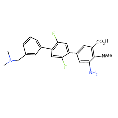 CNc1c(N)cc(-c2cc(F)c(-c3cccc(CN(C)C)c3)cc2F)cc1C(=O)O